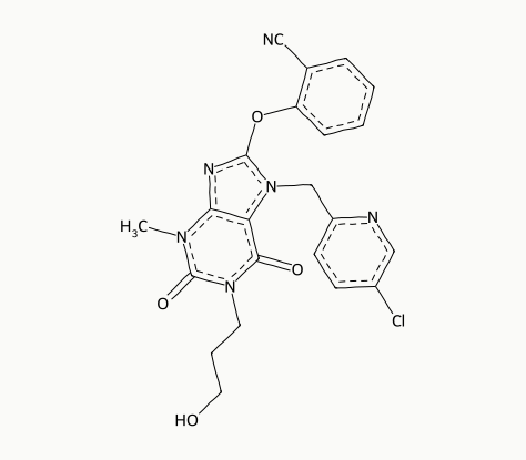 Cn1c(=O)n(CCCO)c(=O)c2c1nc(Oc1ccccc1C#N)n2Cc1ccc(Cl)cn1